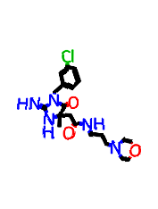 CC1(CC(=O)NCCCN2CCOCC2)NC(=N)N(Cc2cccc(Cl)c2)C1=O